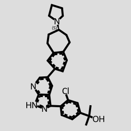 CC(C)(O)c1ccc(-c2n[nH]c3ncc(-c4ccc5c(c4)CC[C@@H](N4CCCC4)CC5)cc23)c(Cl)c1